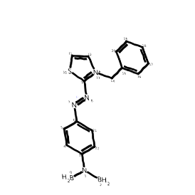 BN(B)c1ccc(/N=N/c2scc[n+]2Cc2ccccc2)cc1